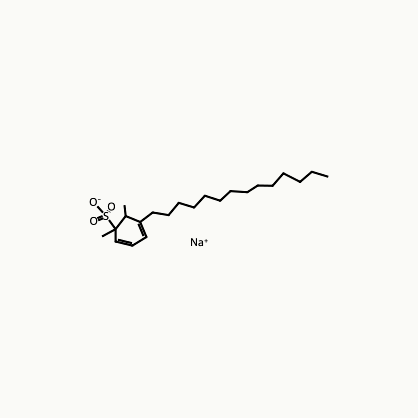 CCCCCCCCCCCCCCC1=CC=CC(C)(S(=O)(=O)[O-])C1C.[Na+]